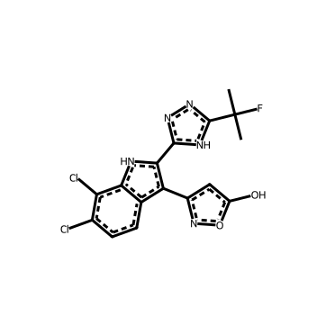 CC(C)(F)c1nnc(-c2[nH]c3c(Cl)c(Cl)ccc3c2-c2cc(O)on2)[nH]1